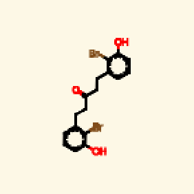 O=C(CCc1cccc(O)c1Br)CCc1cccc(O)c1Br